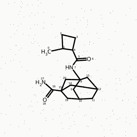 CC1CCC1C(=O)NC12CC3CC(C1)CC(C(N)=O)(C3)C2